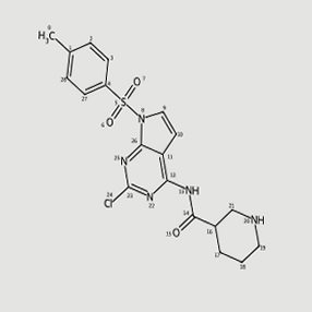 Cc1ccc(S(=O)(=O)n2ccc3c(NC(=O)C4CCCNC4)nc(Cl)nc32)cc1